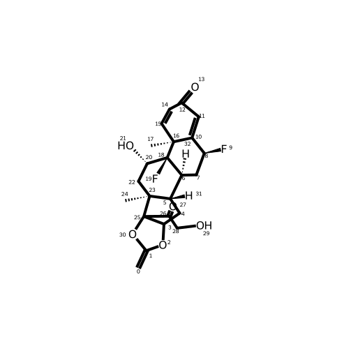 C=C1OC2C[C@H]3[C@@H]4C[C@H](F)C5=CC(=O)C=C[C@]5(C)[C@@]4(F)[C@@H](O)C[C@]3(C)C2(C(=O)CO)O1